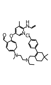 C=CNc1ncc(OC2=CCC(N(C)CCN(CC)CC3=C(c4ccc(Cl)cc4)CC(C)(C)CC3)=CC=C2C=O)cc1C